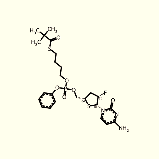 CC(C)(C)C(=O)SCCCCOP(=O)(OC[C@@H]1C[C@H](F)[C@H](n2ccc(N)nc2=O)S1)Oc1ccccc1